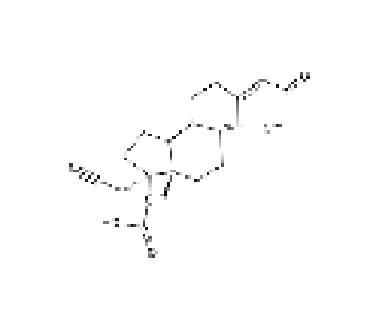 C[C@]12CCC3=C4CCC(=O)C=C4CCC3C1CC[C@]2(CC#N)CC(=O)O